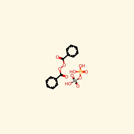 O=C(OOC(=O)c1ccccc1)c1ccccc1.O=P(O)(O)[O][W](=[O])(=[O])[OH]